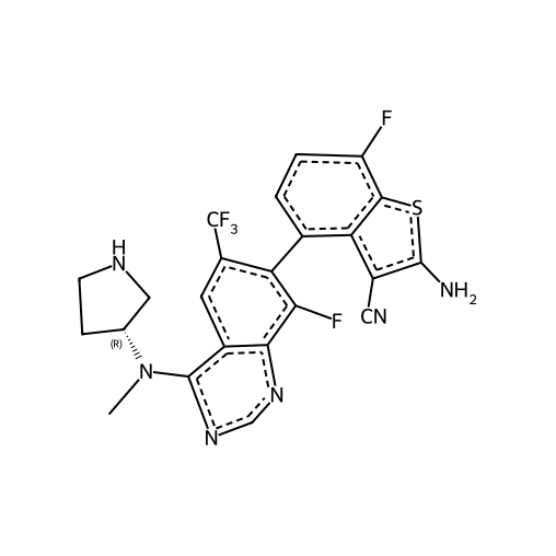 CN(c1ncnc2c(F)c(-c3ccc(F)c4sc(N)c(C#N)c34)c(C(F)(F)F)cc12)[C@@H]1CCNC1